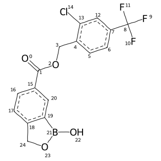 O=C(OCc1ccc(C(F)(F)F)cc1Cl)c1ccc2c(c1)B(O)OC2